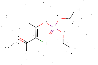 CCOP(=O)(OCC)OC(C)=C(Cl)C(C)=O